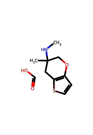 CNC1(C)COc2ccsc2C1.O=CO